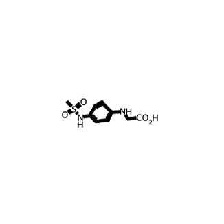 CS(=O)(=O)Nc1ccc(NCC(=O)O)cc1